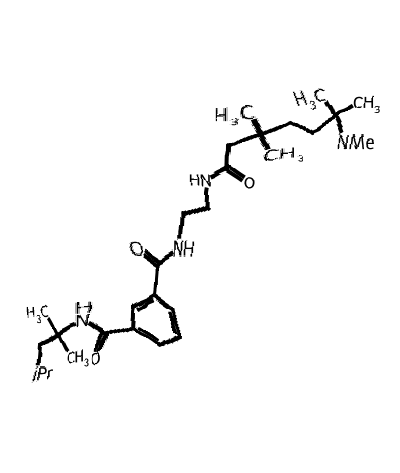 CNC(C)(C)CCC(C)(C)CC(=O)NCCNC(=O)c1cccc(C(=O)NC(C)(C)CC(C)C)c1